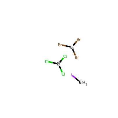 [Br][Bi]([Br])[Br].[Cl][Bi]([Cl])[Cl].[I][BiH2]